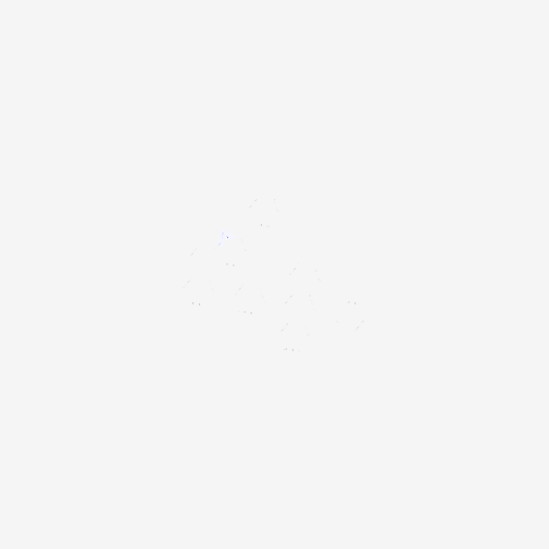 c1ccc(-c2cc(-c3cccc(-c4c5ccccc5c(-c5ccccc5)c5ccccc45)c3)c3c(ccc4ccccc43)n2)cc1